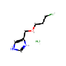 Cl.ClCCCOCc1c[nH]cn1